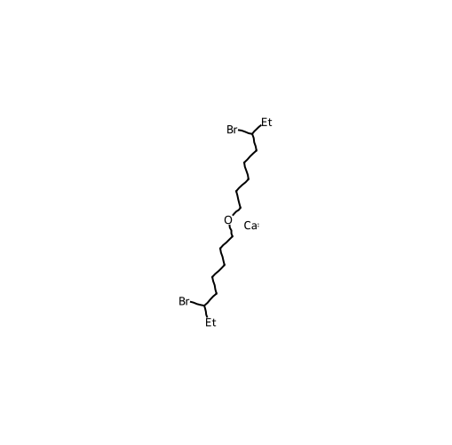 CCC(Br)CCCCCOCCCCCC(Br)CC.[Ca]